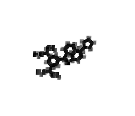 CC(C)c1cc(C2=Nc3ccc(C4CCCC4)c4cccc2c34)cc(C(C)C)c1